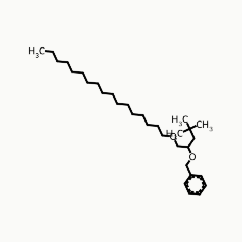 CCCCCCCCCCCCCCCCCOCC(CC(C)(C)C)OCc1ccccc1